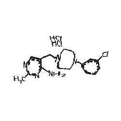 Cc1ncc(CN2CCN(c3cccc(Cl)c3)CC2)c(N)n1.Cl.Cl